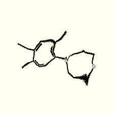 Cc1cc(C)c(N2CCOCC2)cc1C